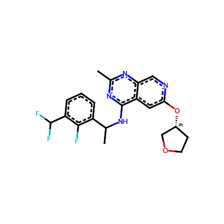 Cc1nc(NC(C)c2cccc(C(F)F)c2F)c2cc(O[C@@H]3CCOC3)ncc2n1